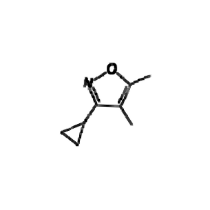 Cc1onc(C2CC2)c1C